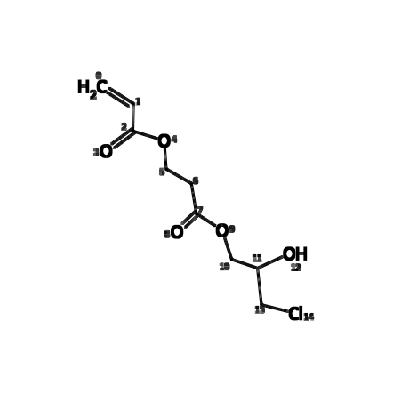 C=CC(=O)OCCC(=O)OCC(O)CCl